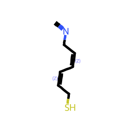 C=NC/C=C\C=C/CS